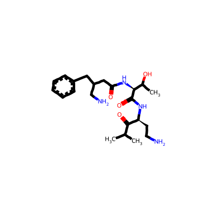 CC(C)C(=O)[C@H](CCN)NC(=O)[C@@H](NC(=O)CC(CN)Cc1ccccc1)C(C)O